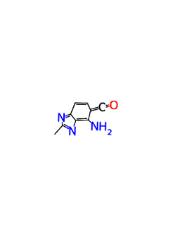 CC1=Nc2c(N)c(=C=O)ccc2=N1